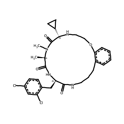 C[C@@H]1C(=O)N[C@H](Cc2ccc(Cl)cc2Cl)C(=O)NCCCc2ccccc2OCCN[C@@H](C2CC2)C(=O)N1C